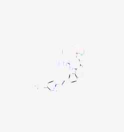 C[C@@H]1C(F)(F)C(C(C)(C)O)SC(N)=N[C@]1(C)c1cc(/C=C(\F)c2ccc(C#N)cn2)ccc1F